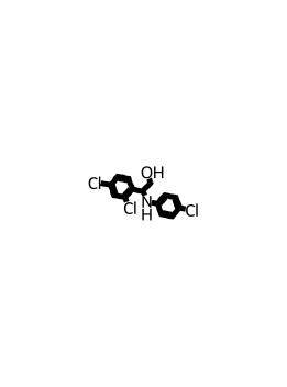 OCC(Nc1ccc(Cl)cc1)c1ccc(Cl)cc1Cl